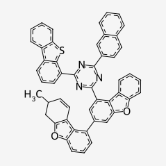 CC1C=Cc2c(oc3cccc(-c4cc(-c5nc(-c6ccc7ccccc7c6)nc(-c6cccc7c6sc6ccccc67)n5)c5c(c4)oc4ccccc45)c23)C1